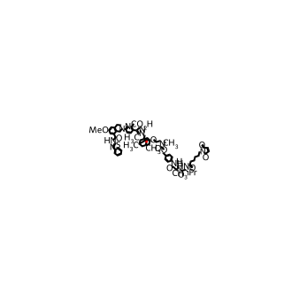 COc1cc2c(c(C(=O)Nc3nc4ccccc4s3)c1)CN(c1ccc(-c3cnn(CC45CC6(C)CC(C)(C4)CC(OCCN(C)C(=O)OCc4ccc(NC(=O)[C@H](C)NC(=O)[C@@H](NC(=O)CCCCCN7C(=O)C=CC7=O)C(C)C)cc4)(C6)C5)c3C)c(C(=O)O)n1)CC2